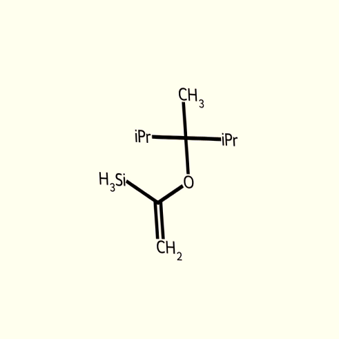 C=C([SiH3])OC(C)(C(C)C)C(C)C